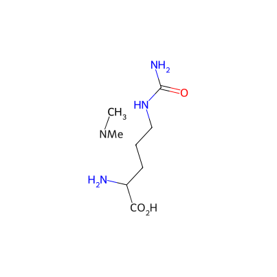 CNC.NC(=O)NCCCC(N)C(=O)O